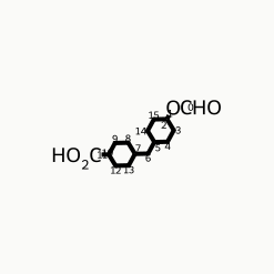 O=COC1CCC(CC2CCC(C(=O)O)CC2)CC1